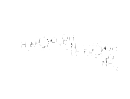 NC(=O)c1cc(OCCNCC(O)COc2ccc(N)cc2)ccc1O